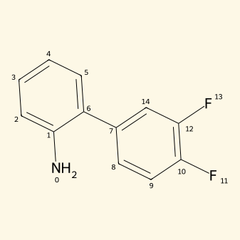 Nc1ccccc1-c1ccc(F)c(F)c1